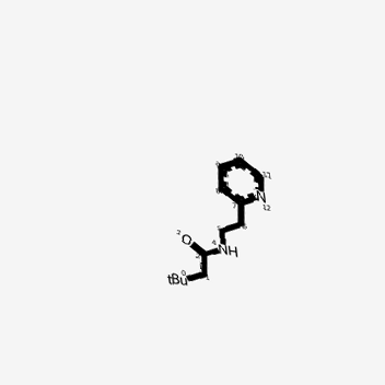 CC(C)(C)CC(=O)NCCc1ccccn1